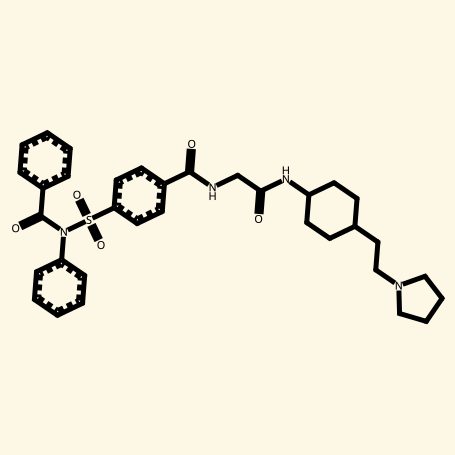 O=C(CNC(=O)c1ccc(S(=O)(=O)N(C(=O)c2ccccc2)c2ccccc2)cc1)NC1CCC(CCN2CCCC2)CC1